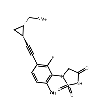 CNC[C@H]1C[C@@H]1C#Cc1ccc(O)c(N2CC(=O)NS2(=O)=O)c1F